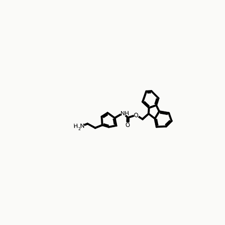 NCCc1ccc(NC(=O)OCC2c3ccccc3-c3ccccc32)cc1